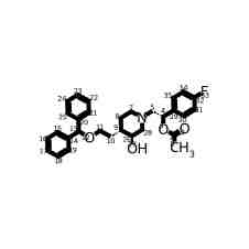 CC(=O)O[C@H](CN1CC[C@@H](CCOC(c2ccccc2)c2ccccc2)[C@H](O)C1)c1ccc(F)cc1